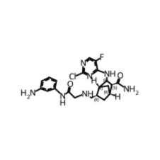 NC(=O)[C@H]1[C@@H]2C[C@@H](CNCC(=O)Nc3cccc(N)c3)[C@@H](C2)[C@H]1Nc1nc(Cl)ncc1F